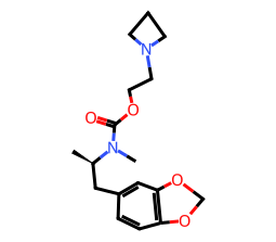 C[C@H](Cc1ccc2c(c1)OCO2)N(C)C(=O)OCCN1CCC1